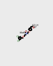 CCOC(Cc1ccc(OCCN(CCCOCc2cc(Cl)cc(Cl)c2)C(=O)OC)cc1)C(=O)O